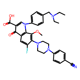 CCN(CC)Cc1ccc(-n2cc(C(=O)O)c(=O)c3cc(F)c(N4CCN(c5ccc(C#N)cc5)CC4)c(OC)c32)cc1